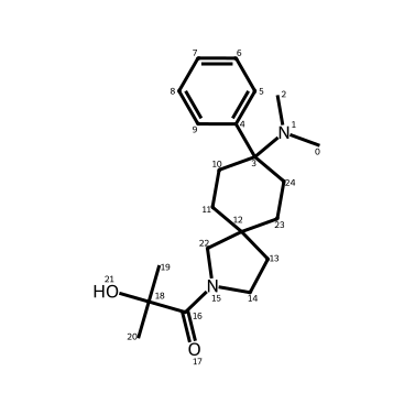 CN(C)C1(c2ccccc2)CCC2(CCN(C(=O)C(C)(C)O)C2)CC1